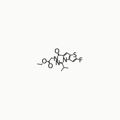 CCOC(=O)Cn1nc(C(C)C)n2c(cc3sc(F)cc32)c1=O